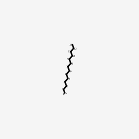 [CH2]CCCCCCCCCCC[CH]C